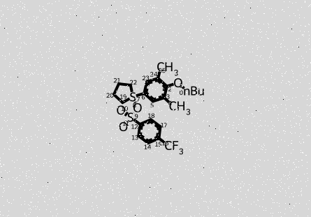 CCCCOc1c(C)cc(S2(OS(=O)(=O)c3ccc(C(F)(F)F)cc3)CCCC2)cc1C